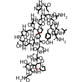 CC(C)C[C@H](NC(=O)[C@H](C)N)C(=O)N[C@@H](Cc1ccc(O)cc1)C(=O)N[C@@H](CC(N)=O)C(=O)N[C@@H](CCC(N)=O)C(=O)N[C@@H](Cc1c[nH]cn1)C(=O)N[C@@H](CC(N)=O)C(=O)N1CCC[C@H]1C(=O)NCC(=O)N[C@@H](C)C(=O)N[C@@H](CO)C(=O)N[C@@H](C)C(=O)N[C@@H](C)C(=O)N1CCC[C@H]1C(=O)N[C@@H](CS)C(=O)N[C@@H](CS)C(=O)N[C@H](C(=O)N1CCC[C@H]1C(=O)N[C@@H](CCC(N)=O)C(=O)N[C@@H](C)C(=O)O)C(C)C